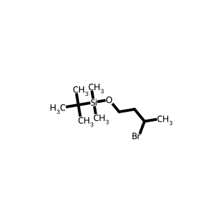 CC(Br)CCO[Si](C)(C)C(C)(C)C